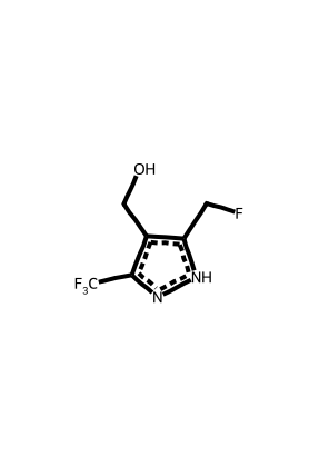 OCc1c(C(F)(F)F)n[nH]c1CF